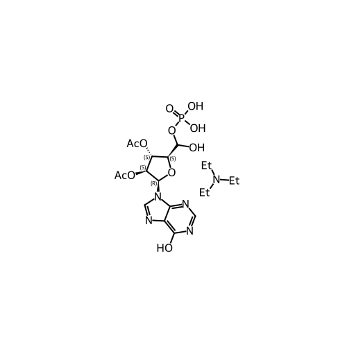 CC(=O)O[C@H]1[C@H](OC(C)=O)[C@H](n2cnc3c(O)ncnc32)O[C@@H]1C(O)OP(=O)(O)O.CCN(CC)CC